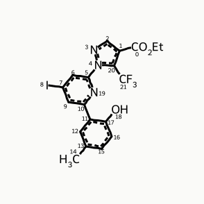 CCOC(=O)c1cnn(-c2cc(I)cc(-c3cc(C)ccc3O)n2)c1C(F)(F)F